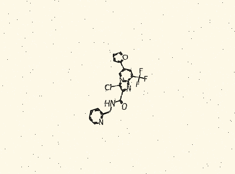 O=C(NCc1ccccn1)c1nc2c(C(F)(F)F)cc(-c3ccco3)cn2c1Cl